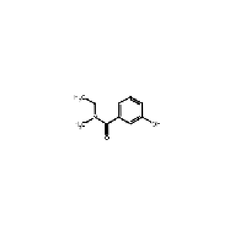 CCN(C)C(=O)c1cccc(O)c1